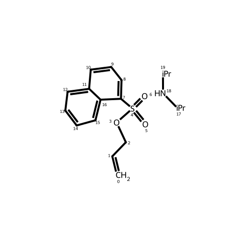 C=CCOS(=O)(=O)c1cccc2ccccc12.CC(C)NC(C)C